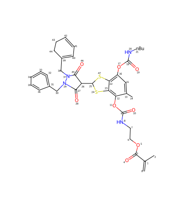 C=C(C)C(=O)OCCNC(=O)Oc1c(C)cc(OC(=O)NCCCC)c2c1SC(C1C(=O)N(CC3=C=C=CC=C3)N(CC3=CC=CCC3)C1=O)S2